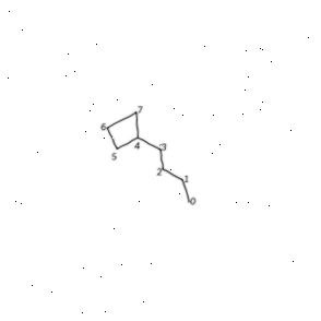 CCC[CH]C1CCC1